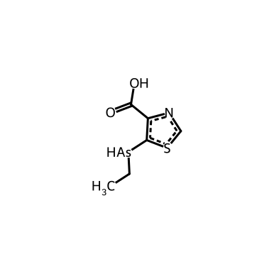 CC[AsH]c1scnc1C(=O)O